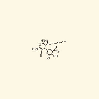 CCCCCCCc1n[nH]c2c1C(c1cc(OC)c(O)c([N+](=O)[O-])c1)C(C#N)=C(N)O2